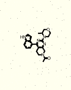 CC(=O)N1CCc2c(nc(N3CCOCC3C)nc2-c2cccc3[nH]ccc23)C1